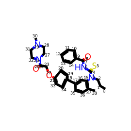 CCCN(C(=S)NC(=O)c1ccccc1)c1cc(-c2ccc(OCC(=O)N3CCN(C)CC3)cc2)ccc1C